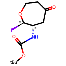 CC(C)(C)OC(=O)N[C@H]1CC(=O)CCO[C@@H]1I